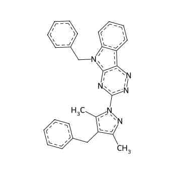 Cc1nn(-c2nnc3c4ccccc4n(Cc4ccccc4)c3n2)c(C)c1Cc1ccccc1